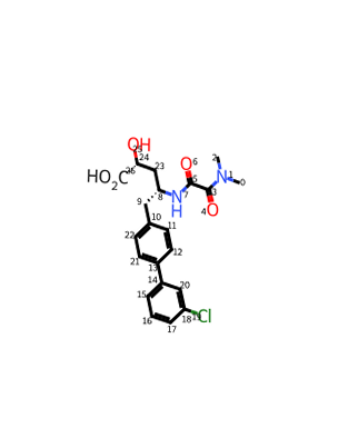 CN(C)C(=O)C(=O)N[C@H](Cc1ccc(-c2cccc(Cl)c2)cc1)C[C@@H](O)C(=O)O